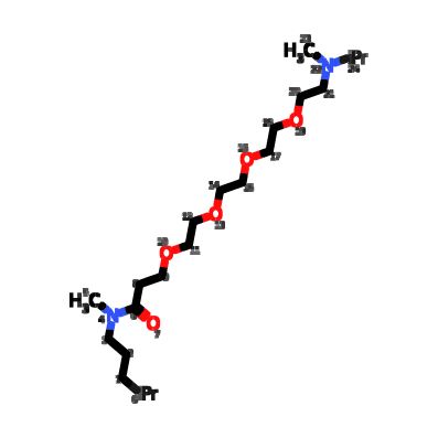 CC(C)CCCN(C)C(=O)CCOCCOCCOCCOCCN(C)C(C)C